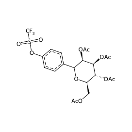 CC(=O)OC[C@H]1OC(c2ccc(OS(=O)(=O)C(F)(F)F)cc2)[C@@H](OC(C)=O)[C@@H](OC(C)=O)[C@@H]1OC(C)=O